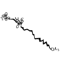 CCCCCCCCCCCCCCCCCCN(OC)C(=O)OCCCOS(C)(=O)=O